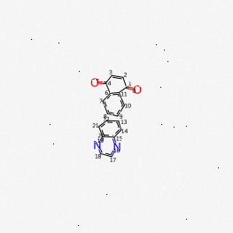 O=C1C=CC(=O)c2ccccc21.c1ccc2nccnc2c1